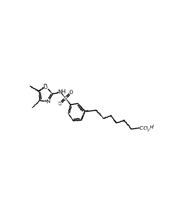 Cc1nc(NS(=O)(=O)c2cccc(CCCCCCC(=O)O)c2)oc1C